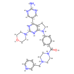 Nc1ncc(-c2nc(N3CCOCC3)nc3c2CCN3c2ccc(C(=O)N3CCN(Cc4cccnc4)CC3)cc2)cn1